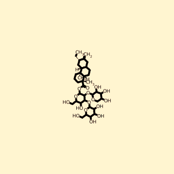 C=C1CC2CC[C@H]3[C@@](C)(CCC[C@@]3(C)C(=O)OC3OC(CO)C(O)C(OC4OC(CO)C(O)C(O)C4O)C3OC3OCC(O)C(O)C3O)[C@@H]2C[C@@H]1CC